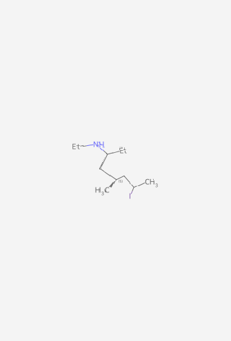 CCNC(CC)C[C@H](C)CC(C)I